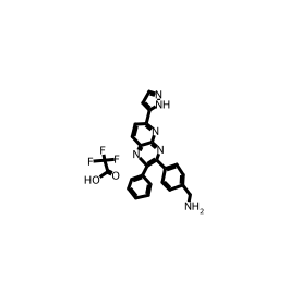 NCc1ccc(-c2nc3nc(-c4ccn[nH]4)ccc3nc2-c2ccccc2)cc1.O=C(O)C(F)(F)F